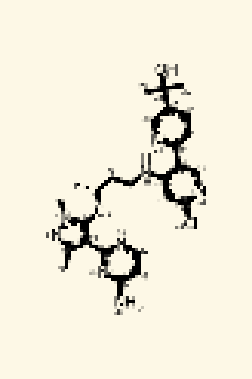 Cc1nn(C)c(O[C@H](C)CCNc2cc(Cl)ncc2-c2ccc(C(C)(C)O)cn2)c1-c1nccc(N)n1